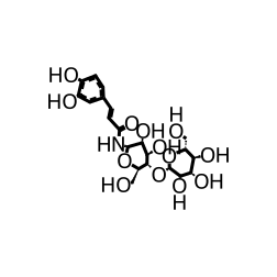 O=C(C=Cc1ccc(O)c(O)c1)N[C@@H]1O[C@H](CO)[C@@H](O[C@H]2O[C@H](CO)[C@@H](O)[C@H](O)[C@H]2O)[C@H](O)[C@H]1O